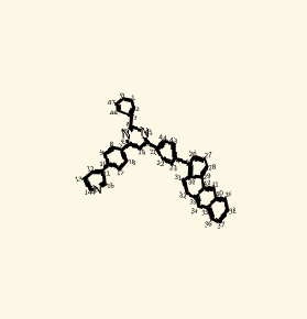 c1ccc(-c2nc(-c3ccc(-c4cccnc4)cc3)cc(-c3ccc(-c4cccc5c4ccc4cc6ccccc6cc45)cc3)n2)cc1